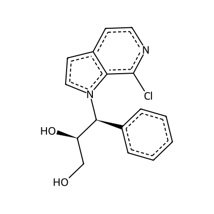 OC[C@@H](O)[C@H](c1ccccc1)n1ccc2ccnc(Cl)c21